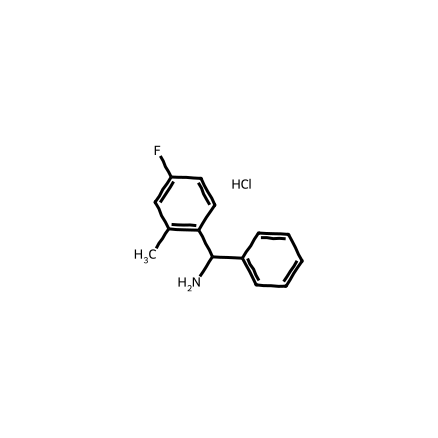 Cc1cc(F)ccc1C(N)c1ccccc1.Cl